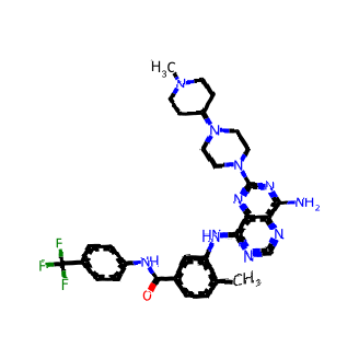 Cc1ccc(C(=O)Nc2ccc(C(F)(F)F)cc2)cc1Nc1ncnc2c(N)nc(N3CCN(C4CCN(C)CC4)CC3)nc12